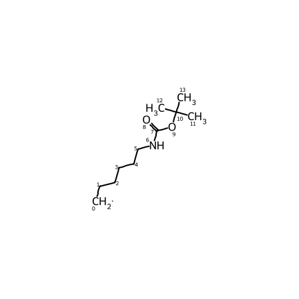 [CH2]CCCCCNC(=O)OC(C)(C)C